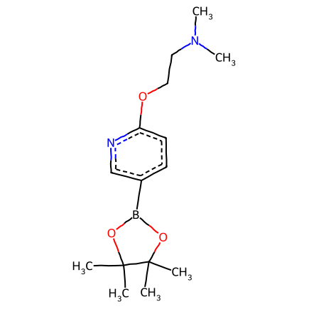 CN(C)CCOc1ccc(B2OC(C)(C)C(C)(C)O2)cn1